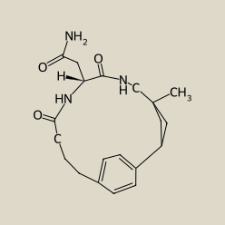 CC12CNC(=O)[C@@H](CC(N)=O)NC(=O)CCCc3ccc(cc3)C(C1)C2